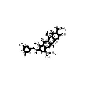 CN(C)c1cc(NCc2cc(F)cc(F)c2)c(O)c2c1C[C@H]1C[C@H]3CC(O)=C(C(N)=O)C(=O)[C@@]3(O)C(O)=C1C2=O